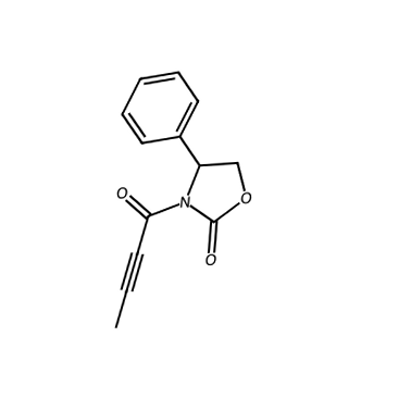 CC#CC(=O)N1C(=O)OCC1c1ccccc1